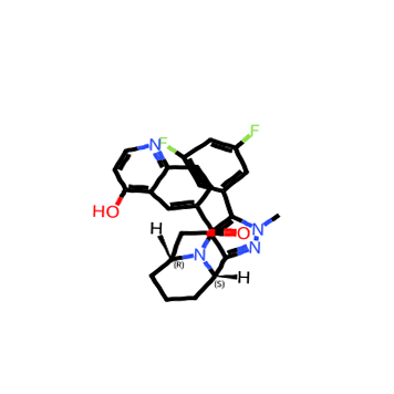 Cn1nc2c(c1-c1cc(F)cc(F)c1)C[C@H]1CCC[C@@H]2N1C(=O)c1ccc2nccc(O)c2c1